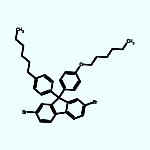 CCCCCCOc1ccc(C2(c3ccc(CCCCCC)cc3)c3cc(Br)ccc3-c3ccc(Br)cc32)cc1